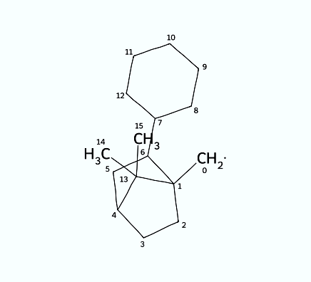 [CH2]C12CCC(CC1C1CCCCC1)C2(C)C